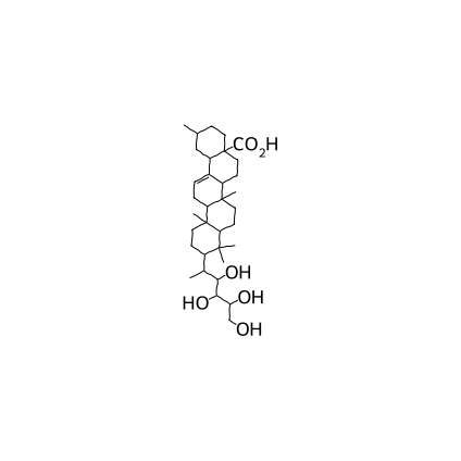 CC1CCC2(C(=O)O)CCC3C(=CCC4C3(C)CCC3C(C)(C)C(C(C)C(O)C(O)C(O)CO)CCC34C)C2C1